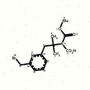 CC(C)(C)OC(=O)N(C(=O)O)C(C)(C)Cc1cccc(CBr)n1